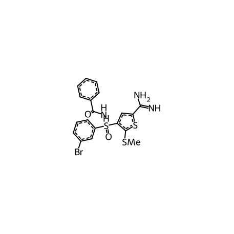 CSc1sc(C(=N)N)cc1[SH](=O)(NC(=O)c1ccccc1)c1cccc(Br)c1